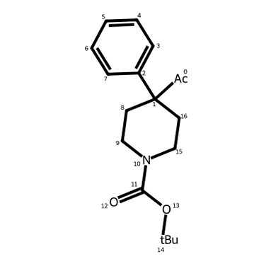 CC(=O)C1(c2ccccc2)CCN(C(=O)OC(C)(C)C)CC1